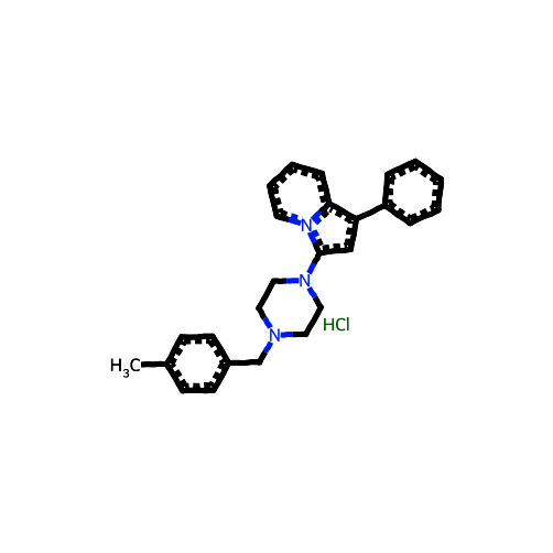 Cc1ccc(CN2CCN(c3cc(-c4ccccc4)c4ccccn34)CC2)cc1.Cl